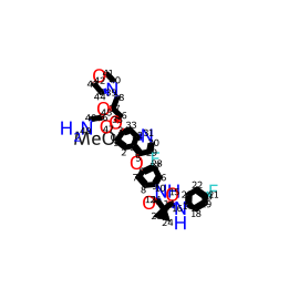 COc1cc2c(Oc3ccc(NC(=O)C4(C(=O)Nc5ccc(F)cc5)CC4)cc3F)ccnc2cc1OCC(CN1CCOCC1)OC(=O)CN